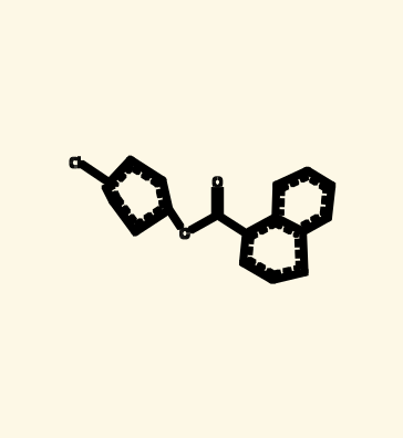 O=C(Oc1ccc(Cl)cc1)c1cccc2ccccc12